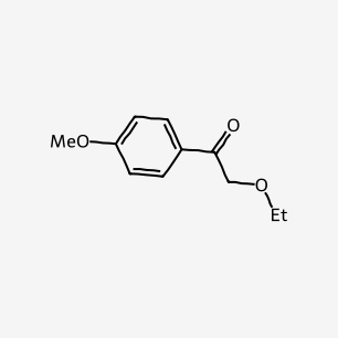 CCOCC(=O)c1ccc(OC)cc1